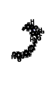 Cc1[nH]c2c(c1C(=O)NCCCN1CCN(c3ccc(OC4CCC(=O)NC4=O)cc3F)CC1)CC/C2=C1/C(=O)Nc2ccc(F)cc21